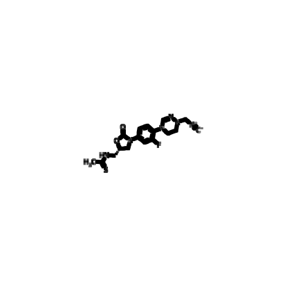 [C-]#[N+]CN1CCN(c2ccc(N3C[C@H](CNC(C)=S)OC3=O)cc2F)C=N1